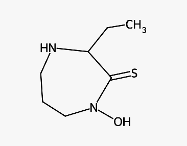 CCC1NCCCN(O)C1=S